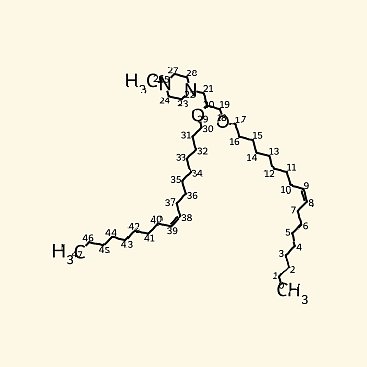 CCCCCCCC/C=C\CCCCCCCCOCC(CN1CCN(C)CC1)OCCCCCCCC/C=C\CCCCCCCC